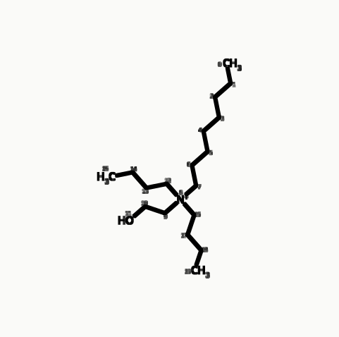 CCCCCCCC[N+](CCO)(CCCC)CCCC